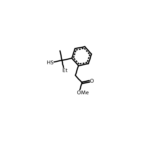 CCC(C)(S)c1ccccc1CC(=O)OC